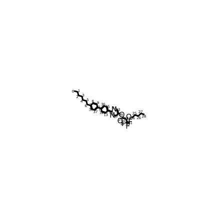 CCCCCCCc1ccc(-c2ccc(-c3ncc(OC(=O)C(OCCCCC)C(F)(F)F)cn3)cc2)cc1